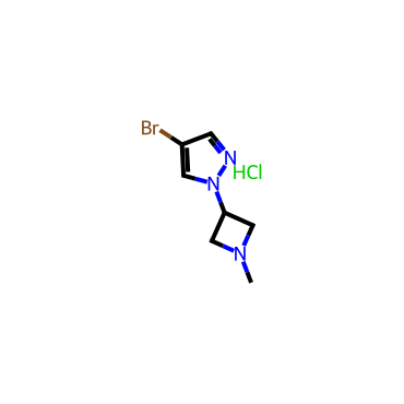 CN1CC(n2cc(Br)cn2)C1.Cl